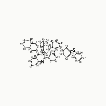 c1cc(-c2nc(-c3ccc4ccccc4c3)c3ccccc3n2)c2c(c1)-c1c(-c3ccc4c(c3)sc3ccccc34)cccc1C21C2CC3CC(C2)CC1C3